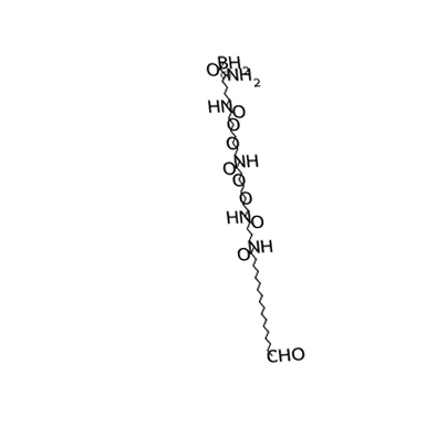 BC(=O)[C@@H](N)CCCCNC(=O)COCCOCCNC(=O)COCCOCCNC(=O)CCCNC(=O)CCCCCCCCCCCCCCCCC=O